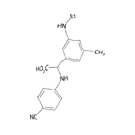 CCNc1cc(C)cc(C(Nc2ccc(C#N)cc2)C(=O)O)c1